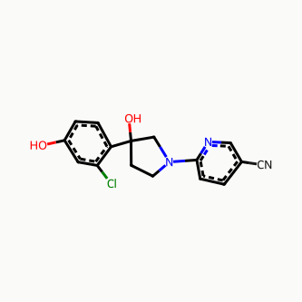 N#Cc1ccc(N2CCC(O)(c3ccc(O)cc3Cl)C2)nc1